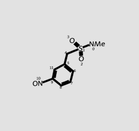 CNS(=O)(=O)Cc1cccc(N=O)c1